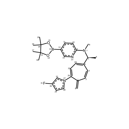 C=C1C=CC([C@H](C)N(C)c2ccc(B3OC(C)(C)C(C)(C)O3)cn2)=CC=C1n1ccc(F)c1